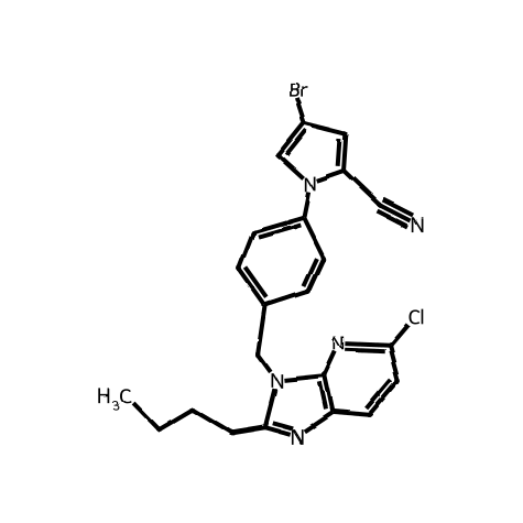 CCCCc1nc2ccc(Cl)nc2n1Cc1ccc(-n2cc(Br)cc2C#N)cc1